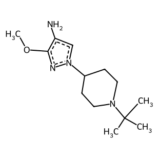 COc1nn(C2CCN(C(C)(C)C)CC2)cc1N